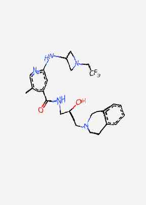 Cc1cnc(NC2CN(CC(F)(F)F)C2)cc1C(=O)NCC(O)CN1CCc2ccccc2C1